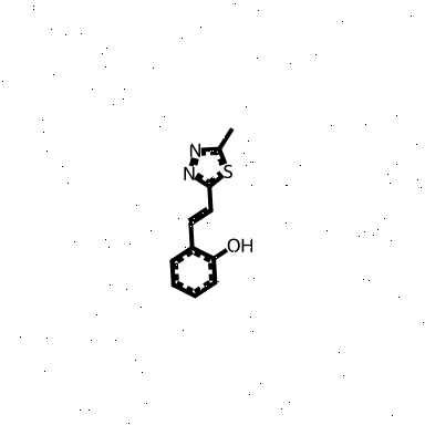 Cc1nnc(C=Cc2ccccc2O)s1